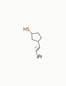 CC(C)/C=C/C1CCC(S)C1